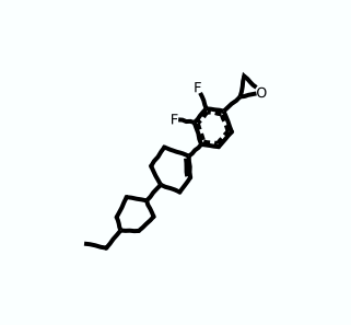 CCC1CCC(C2CC=C(c3ccc(C4CO4)c(F)c3F)CC2)CC1